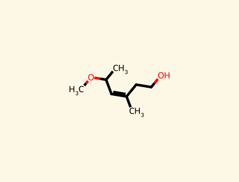 COC(C)C=C(C)CCO